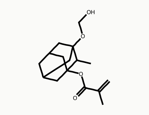 C=C(C)C(=O)OC12CC3CC(CC(OCO)(C3)C1C)C2